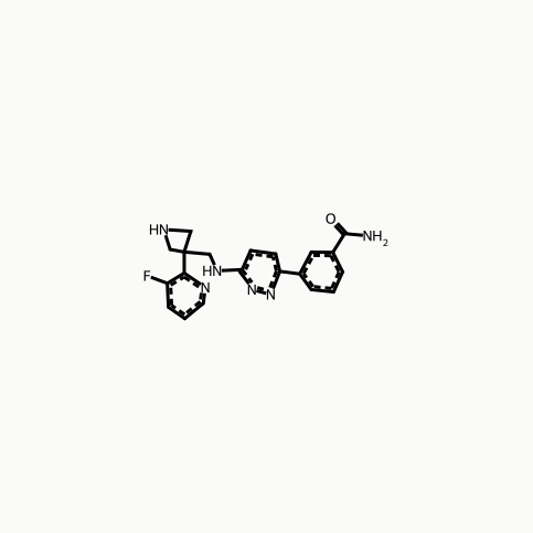 NC(=O)c1cccc(-c2ccc(NCC3(c4ncccc4F)CNC3)nn2)c1